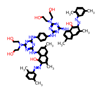 Cc1ccc(C)c(N=Nc2c(C)cc3cc(C)cc(Nc4nc(Nc5ccc(Nc6nc(Nc7cc(C)cc8cc(C)c(N=Nc9cc(C)ccc9C)c(O)c78)nc(N(CCO)CCO)n6)cc5)nc(N(CCO)CCO)n4)c3c2O)c1